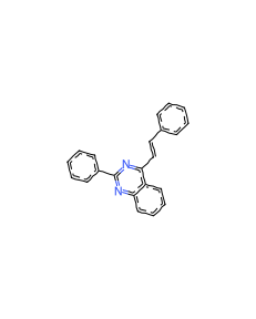 C(=Cc1nc(-c2ccccc2)nc2ccccc12)c1ccccc1